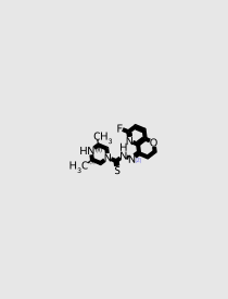 C[C@@H]1CN(C(=S)N/N=C2/CCOc3ccc(F)nc32)C[C@H](C)N1